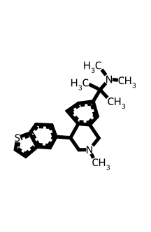 CN1Cc2cc(C(C)(C)N(C)C)ccc2C(c2ccc3sccc3c2)C1